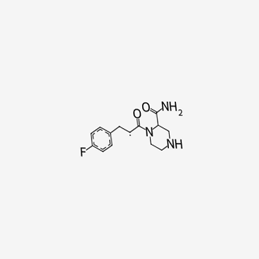 NC(=O)C1CNCCN1C(=O)[CH]Cc1ccc(F)cc1